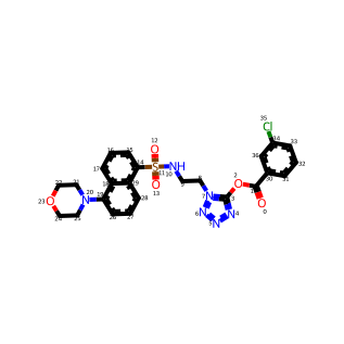 O=C(Oc1nnnn1CCNS(=O)(=O)c1cccc2c(N3CCOCC3)cccc12)c1cccc(Cl)c1